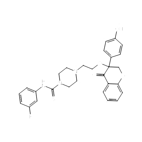 O=C1c2ccccc2OCC1(OCCN1CCN(C(=S)Nc2cccc(F)c2)CC1)c1ccc(O)cc1